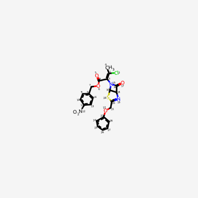 CC(Cl)=C(C(=O)OCc1ccc([N+](=O)[O-])cc1)N1C(=O)C2N=C(COc3ccccc3)SC21